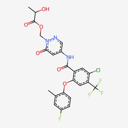 Cc1cc(F)ccc1Oc1cc(C(F)(F)F)c(Cl)cc1C(=O)Nc1cnn(COC(=O)C(C)O)c(=O)c1